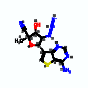 C[C@@]1(C#N)O[C@@H](c2csc3c(N)ncnc23)C(N=[N+]=[N-])[C@@H]1O